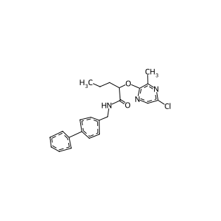 CCCC(Oc1ncc(Cl)nc1C)C(=O)NCc1ccc(-c2ccccc2)cc1